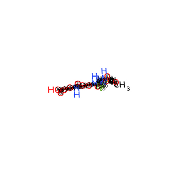 COc1ccc(S(=O)(=O)Nc2ncc(C(=O)NCCOCCOCC(=O)NCCOCCOCC(=O)O)c(C(F)(F)F)n2)cc1